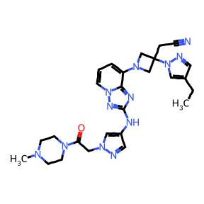 CCc1cnn(C2(CC#N)CN(c3cccn4nc(Nc5cnn(CC(=O)N6CCN(C)CC6)c5)nc34)C2)c1